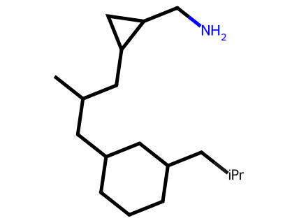 CC(C)CC1CCCC(CC(C)CC2CC2CN)C1